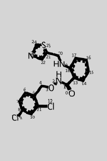 O=C(NOCc1ccc(Cl)cc1Cl)c1ccccc1NCc1cncs1